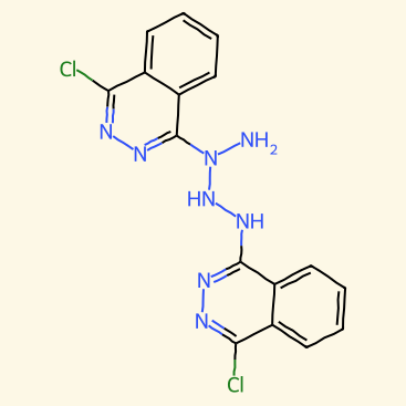 NN(NNc1nnc(Cl)c2ccccc12)c1nnc(Cl)c2ccccc12